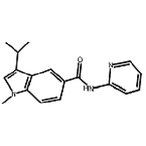 CC(C)c1cn(C)c2ccc(C(=O)Nc3ccccn3)cc12